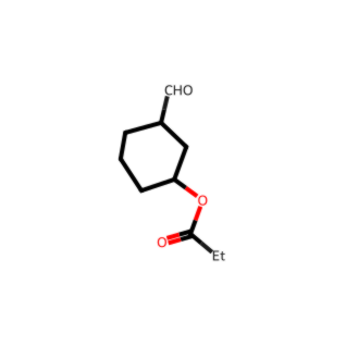 CCC(=O)OC1CCCC(C=O)C1